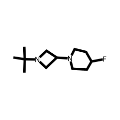 CC(C)(C)N1CC(N2CCC(F)CC2)C1